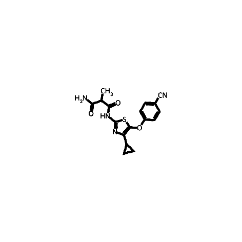 C[C](C(N)=O)C(=O)Nc1nc(C2CC2)c(Oc2ccc(C#N)cc2)s1